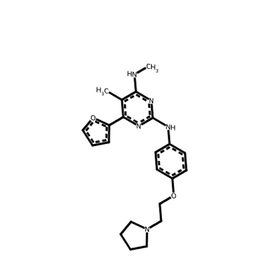 CNc1nc(Nc2ccc(OCCN3CCCC3)cc2)nc(-c2ccco2)c1C